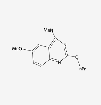 CCCOc1nc(NC)c2cc(OC)ccc2n1